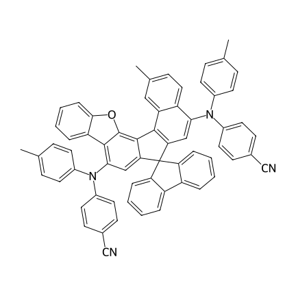 Cc1ccc(N(c2ccc(C#N)cc2)c2cc3c(c4cc(C)ccc24)-c2c(cc(N(c4ccc(C)cc4)c4ccc(C#N)cc4)c4c2oc2ccccc24)C32c3ccccc3-c3ccccc32)cc1